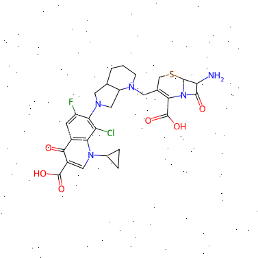 NC1C(=O)N2C(C(=O)O)=C(CN3CCCC4CN(c5c(F)cc6c(=O)c(C(=O)O)cn(C7CC7)c6c5Cl)CC43)CSC12